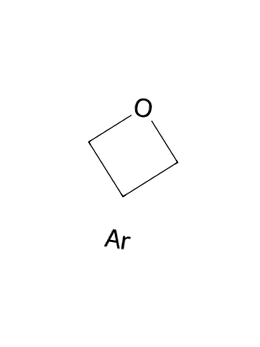 C1COC1.[Ar]